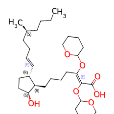 CCCC[C@H](C)CC/C=C/[C@H]1CC[C@H](O)[C@@H]1CCCC/C(OC1CCCCO1)=C(\OC1CCCCO1)C(=O)O